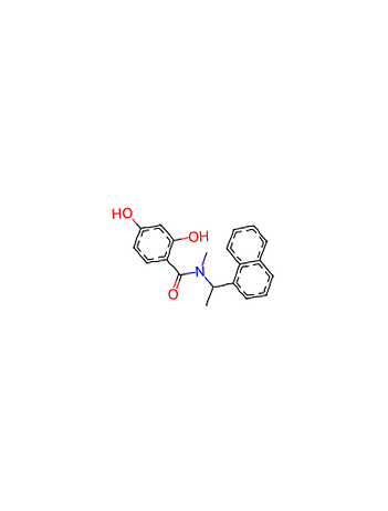 CC(c1cccc2ccccc12)N(C)C(=O)c1ccc(O)cc1O